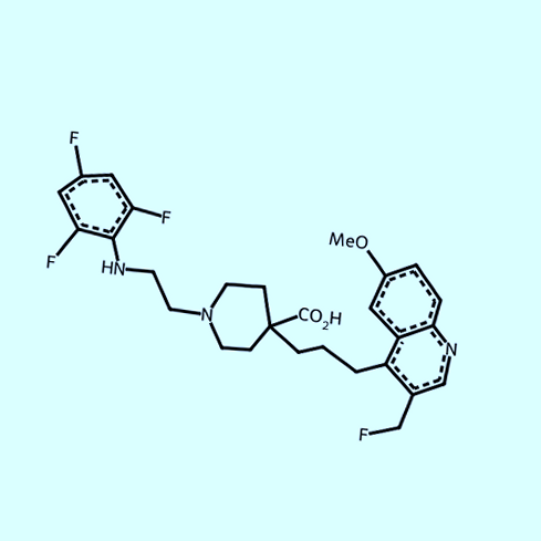 COc1ccc2ncc(CF)c(CCCC3(C(=O)O)CCN(CCNc4c(F)cc(F)cc4F)CC3)c2c1